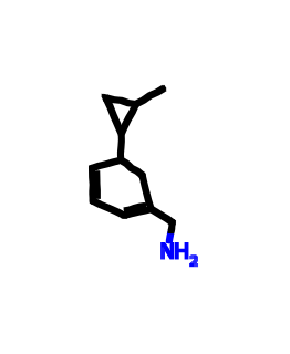 CC1CC1C1C=CC=C(CN)C1